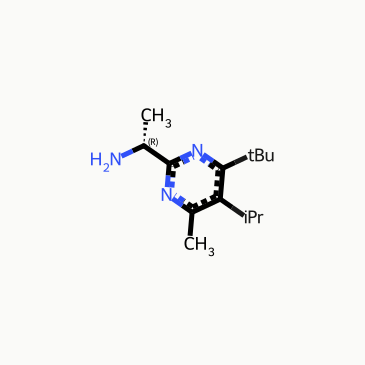 Cc1nc([C@@H](C)N)nc(C(C)(C)C)c1C(C)C